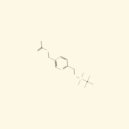 CC(=O)SCc1ccc(CO[Si](C)(C)C(C)(C)C)nc1